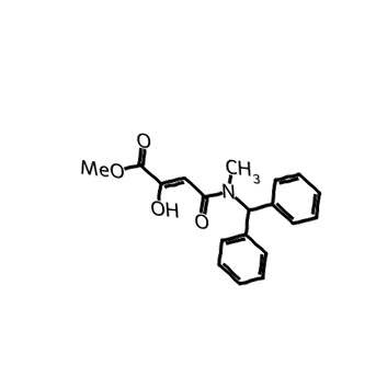 COC(=O)/C(O)=C/C(=O)N(C)C(c1ccccc1)c1ccccc1